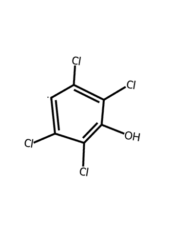 Oc1c(Cl)c(Cl)[c]c(Cl)c1Cl